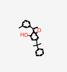 Cc1cccc(-c2coc3cc(C(C)(C)c4ccccc4)cc(O)c23)c1